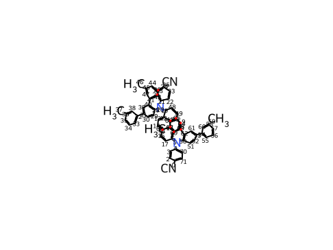 [C-]#[N+]c1ccc(N(C2=C3C=CC4=C5C(=CC=C(C=C2)C35)C(N(c2ccc(C#N)cc2)c2ccc(-c3cccc(C)c3)cc2-c2cccc(C)c2)C=C4)c2ccc(-c3cccc(C)c3)cc2-c2cccc(C)c2)cc1